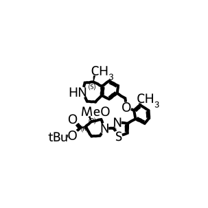 CO[C@H]1CN(c2nc(-c3cccc(C)c3OCc3ccc4c(c3)CCNC[C@H]4C)cs2)CC[C@H]1C(=O)OC(C)(C)C